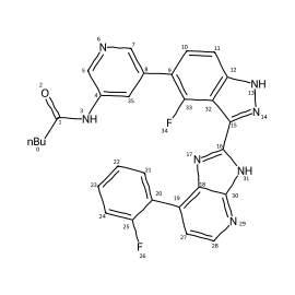 CCCCC(=O)Nc1cncc(-c2ccc3[nH]nc(-c4nc5c(-c6ccccc6F)ccnc5[nH]4)c3c2F)c1